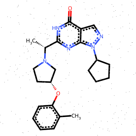 Cc1ccccc1O[C@@H]1CCN([C@H](C)c2nc3c(cnn3C3CCCC3)c(=O)[nH]2)C1